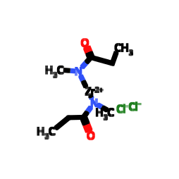 CCC(=O)[N](C)[Zr+2][N](C)C(=O)CC.[Cl-].[Cl-]